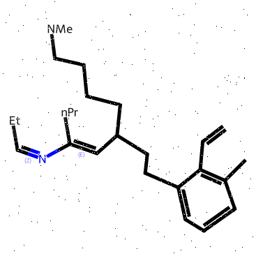 C=Cc1c(C)cccc1CCC(/C=C(CCC)/N=C\CC)CCCCNC